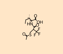 CC[C@H](C)[C@@H](NC(=O)C(CSC(C)=O)C(F)(F)F)C(=O)O